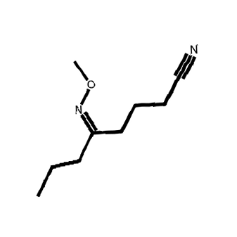 CCCC(CCCC#N)=NOC